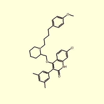 COc1ccc(CCCCN2CCCCC2COc2c(-c3cc(C)cc(C)c3)c(=O)[nH]c3cc(Cl)ccc23)cc1